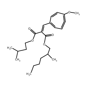 CCCCC(C)COC(=O)/C(=C\C1=CC=C=C(OC)C=C1)C(=O)OCCC(C)C